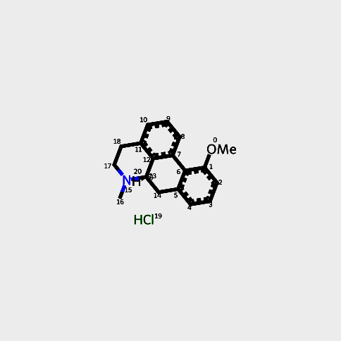 COc1cccc2c1-c1cccc3c1[C@H](C2)N(C)CC3.Cl